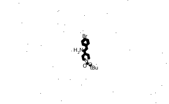 CC(C)(C)OC(=O)N1CCC(C(N)Cc2ccc(Br)cc2)CC1